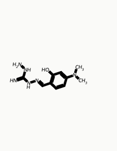 CN(C)c1ccc(C=NNC(=N)NN)c(O)c1